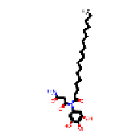 CCCCCCCCC=CCCCCCCCC(=O)N(C(=O)CC(N)=O)c1cc(O)c(O)c(O)c1